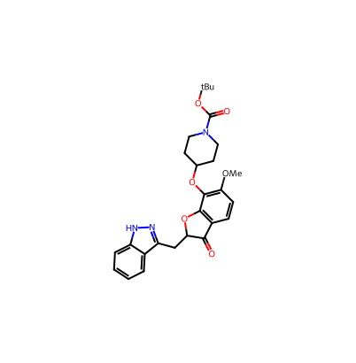 COc1ccc2c(c1OC1CCN(C(=O)OC(C)(C)C)CC1)OC(Cc1n[nH]c3ccccc13)C2=O